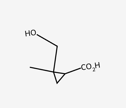 CC1(CO)CC1C(=O)O